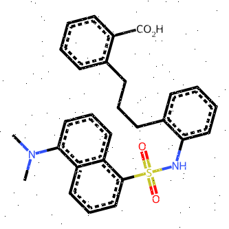 CN(C)c1cccc2c(S(=O)(=O)Nc3ccccc3CCCc3ccccc3C(=O)O)cccc12